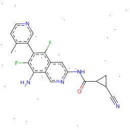 Cc1ccncc1-c1c(F)c(N)c2cnc(NC(=O)C3CC3C#N)cc2c1F